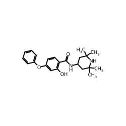 CC1(C)CC(NC(=O)c2ccc(Oc3ccccc3)cc2O)CC(C)(C)N1